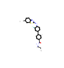 CC(C)C[C@H](NC(=O)c1ccc(-c2ccc(Nc3nc4ccc(C(C)C)cc4s3)c(F)c2)cc1)C(=O)O